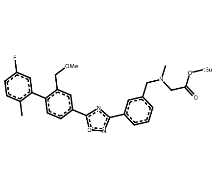 COCc1cc(-c2nc(-c3cccc(CN(C)CC(=O)OC(C)(C)C)c3)no2)ccc1-c1cc(F)ccc1C